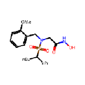 CCCCC(CCC)S(=O)(=O)N(CC(=O)NO)Cc1ccccc1OC